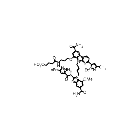 CCCc1cc(C(=O)Nc2nc3cc(C(N)=O)cc(OC)c3n2CC=CCn2c3nc(-c4cc(C)nn4CC)ncc3c3cc(C(N)=O)cc(OCCCNC(=O)CCCC(=O)O)c32)[nH]n1